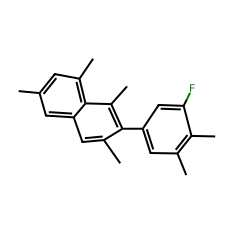 Cc1cc(C)c2c(C)c(-c3cc(C)c(C)c(F)c3)c(C)cc2c1